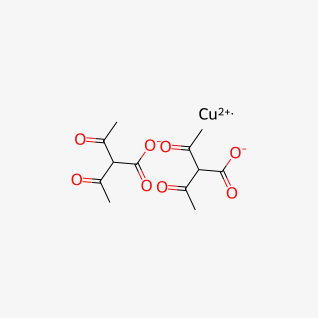 CC(=O)C(C(C)=O)C(=O)[O-].CC(=O)C(C(C)=O)C(=O)[O-].[Cu+2]